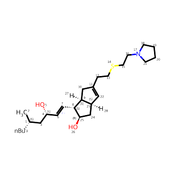 CCCC[C@H](C)C[C@H](O)/C=C/[C@@H]1[C@H]2CC(CCSCCN3CCCC3)=C[C@H]2C[C@H]1O